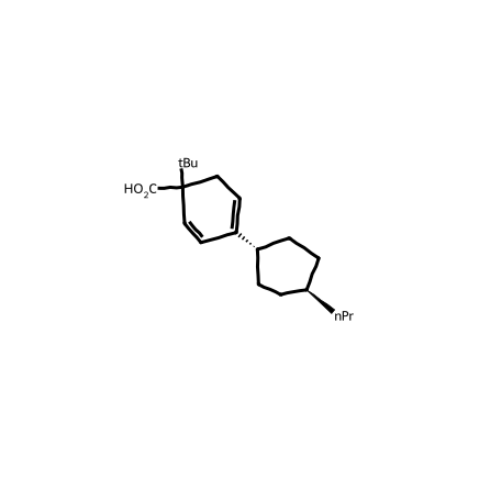 CCC[C@H]1CC[C@H](C2=CCC(C(=O)O)(C(C)(C)C)C=C2)CC1